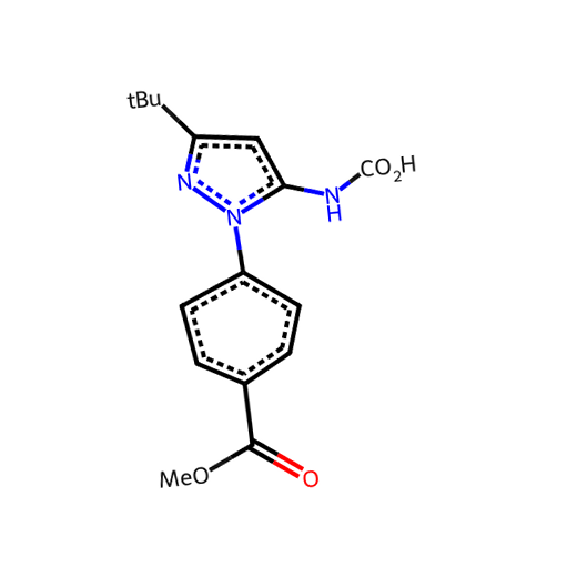 COC(=O)c1ccc(-n2nc(C(C)(C)C)cc2NC(=O)O)cc1